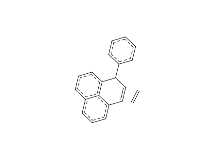 C1=CC(c2ccccc2)c2cccc3cccc1c23.C=C